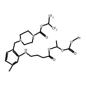 Cc1ccc(CN2CCN(C(=O)OC(C(F)(F)F)C(F)(F)F)CC2)c(NCCCC(=O)OC(C)OC(=O)OC(C)C)c1